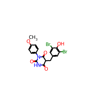 COc1ccc(N2C(=O)NC(=O)C(Cc3cc(Br)c(O)c(Br)c3)C2=O)cc1